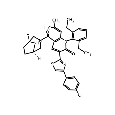 CCc1cccc(CC)c1-n1c(C=C(C)C)c(C(=O)N2C[C@H]3CC[C@@H](C2)N3)cc(-c2nc(-c3ccc(Cl)cc3)cs2)c1=O